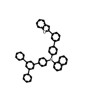 c1ccc(-c2cc(-c3ccccc3)cc(-c3ccc(N(c4ccc(-c5cccc(-c6cc7ccccc7o6)c5)cc4)c4cccc5ccccc45)cc3)c2)cc1